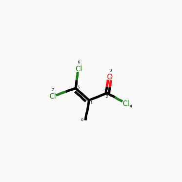 CC(C(=O)Cl)=C(Cl)Cl